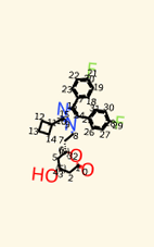 O=C1C[C@@H](O)C[C@H](CCn2c(C3CCC3)nc(-c3ccc(F)cc3)c2-c2ccc(F)cc2)O1